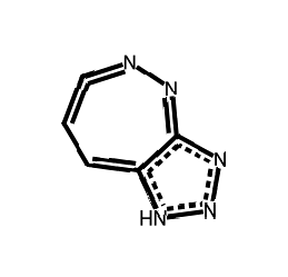 C1=CC=c2[nH]nnc2=NN=1